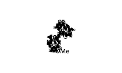 C=CC(=O)N1CCN(C(=O)c2cc(Sc3sc(NC(=O)C4CC4)nc3C=CC(=O)N3CCN(C(=O)c4cc(Sc5cnc(NC6CC6)s5)c(C)cc4OC)CC3)c(C)cc2C(F)(F)F)CC1